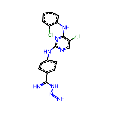 N=NNC(=N)c1ccc(Nc2ncc(Cl)c(Nc3ccccc3Cl)n2)cc1